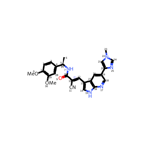 COc1ccc([C@@H](C)NC(=O)/C(C#N)=C/c2c[nH]c3ncc(-c4cn(C)cn4)cc23)cc1OC